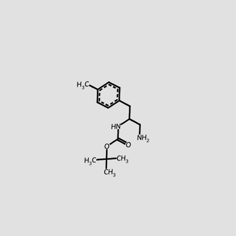 Cc1ccc(CC(CN)NC(=O)OC(C)(C)C)cc1